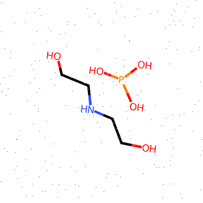 OCCNCCO.OP(O)O